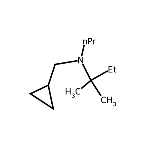 CCCN(CC1CC1)C(C)(C)CC